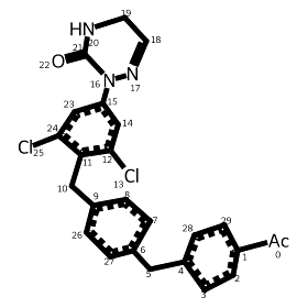 CC(=O)c1ccc(Cc2ccc(Cc3c(Cl)cc(N4N=CCNC4=O)cc3Cl)cc2)cc1